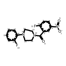 O=C(c1cc([N+](=O)[O-])ccc1F)N1CCN(c2ccccc2F)CC1